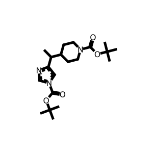 CC(c1cn(C(=O)OC(C)(C)C)cn1)C1CCN(C(=O)OC(C)(C)C)CC1